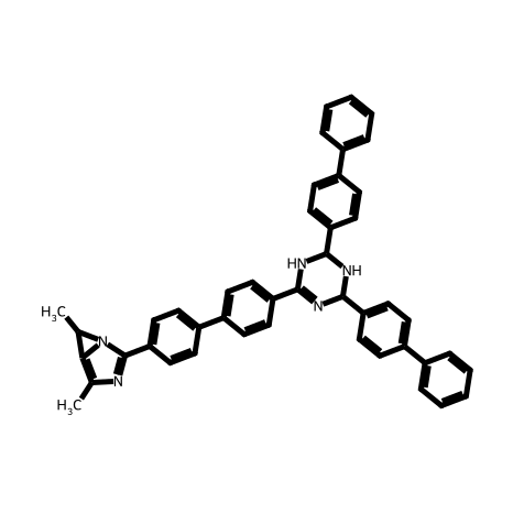 Cc1nc(-c2ccc(-c3ccc(C4=NC(c5ccc(-c6ccccc6)cc5)NC(c5ccc(-c6ccccc6)cc5)N4)cc3)cc2)n2c1C2C